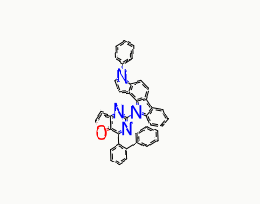 c1ccc(-c2ccccc2-c2nc(-n3c4ccccc4c4ccc5c(ccn5-c5ccccc5)c43)nc3ccoc23)cc1